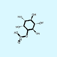 O=[PH](O)OC1[C@H](O)[C@H](O)[C@@H](O)[C@H](O)[C@H]1O